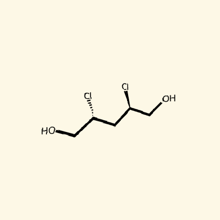 OC[C@H](Cl)C[C@@H](Cl)CO